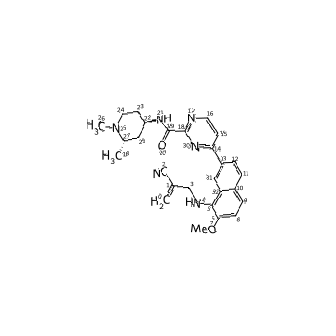 C=C(C#N)CNc1c(OC)ccc2ccc(-c3ccnc(C(=O)N[C@@H]4CCN(C)[C@@H](C)C4)n3)cc12